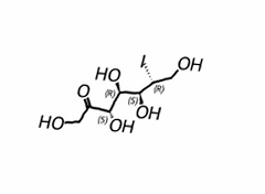 O=C(CO)[C@@H](O)[C@@H](O)[C@H](O)[C@H](I)CO